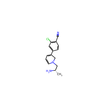 C[C@H](N)CN1C=CC=C(c2ccc(C#N)c(Cl)c2)C1